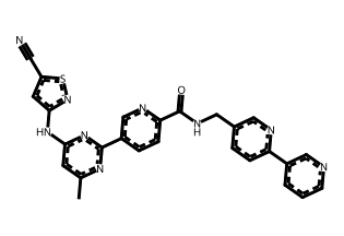 Cc1cc(Nc2cc(C#N)sn2)nc(-c2ccc(C(=O)NCc3ccc(-c4cccnc4)nc3)nc2)n1